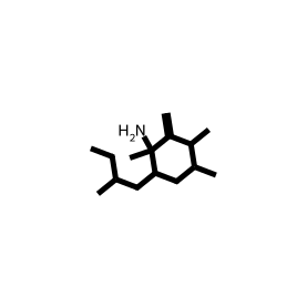 C=C1C(C)C(C)CC(CC(C)CC)C1(C)N